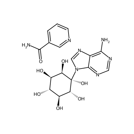 NC(=O)c1cccnc1.Nc1ncnc2c1ncn2[C@]1(O)[C@H](O)[C@H](O)[C@@H](O)[C@H](O)[C@H]1O